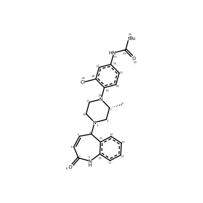 C[C@@H]1CN(C2C=CC(=O)Nc3ccccc32)CCN1c1ccc(NC(=O)C(C)(C)C)cc1Cl